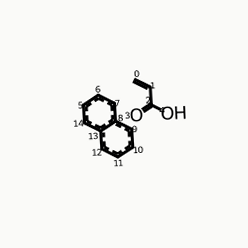 C=CC(=O)O.c1ccc2ccccc2c1